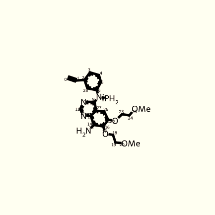 C#Cc1cccc(N(P)c2ncnc3c(N)c(OCCOC)c(OCCOC)cc23)c1